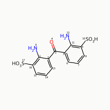 Nc1c(C(=O)c2cccc(S(=O)(=O)O)c2N)cccc1S(=O)(=O)O